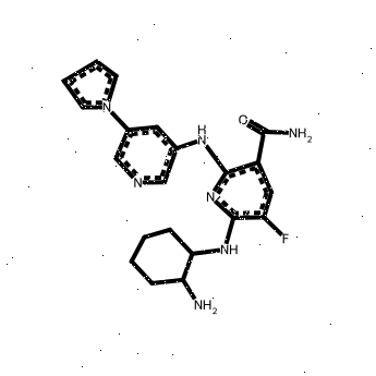 NC(=O)c1cc(F)c(NC2CCCCC2N)nc1Nc1cncc(-n2cccc2)c1